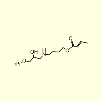 [CH2]CCOCC(O)CNCCCCOC(=O)C=CC